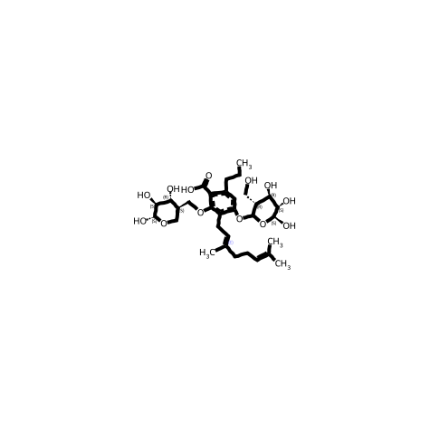 CCCc1cc(OC2O[C@H](O)[C@@H](O)[C@H](O)[C@H]2CO)c(C/C=C(\C)CCC=C(C)C)c(OC[C@H]2CO[C@H](O)[C@@H](O)[C@@H]2O)c1C(=O)O